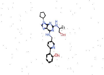 CCC(CO)Nc1nc(NCc2ccc(-c3ccccc3O)nc2)c2ncn(C3CCCC3)c2n1